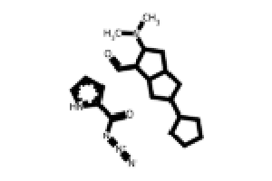 CN(C)C1CC2CC(C3CCCC3)CC2C1C=O.[N-]=[N+]=NC(=O)c1ccc[nH]1